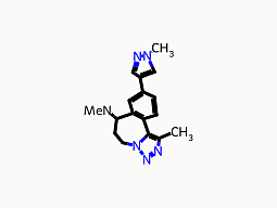 CNC1CCn2nnc(C)c2-c2ccc(-c3cnn(C)c3)cc21